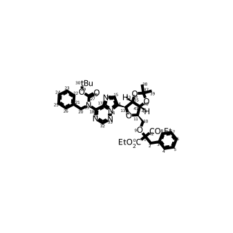 CCOC(=O)C(Cc1ccccc1)(OC[C@H]1O[C@@H](c2cnc3c(N(Cc4ccccc4)C(=O)OC(C)(C)C)ncnn23)[C@@H]2OC(C)(C)O[C@@H]21)C(=O)OCC